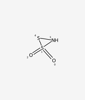 O=S1(=O)NS1